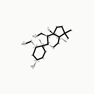 CC1(C)CC[C@H]2[C@H](CN)[C@@H]([C@@]3(C)CC[C@H](O)C[C@@H]3CO)CC[C@@]21C